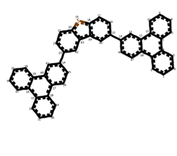 c1ccc2c(c1)c1ccccc1c1cc(-c3ccc4sc5ccc(-c6ccc7c8ccccc8c8ccccc8c7c6)cc5c4c3)ccc21